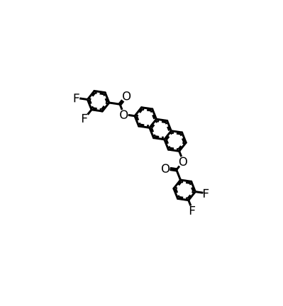 O=C(Oc1ccc2cc3ccc(OC(=O)c4ccc(F)c(F)c4)cc3cc2c1)c1ccc(F)c(F)c1